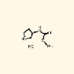 CC(C)(C)OC(=O)NC1CCNC1.Cl